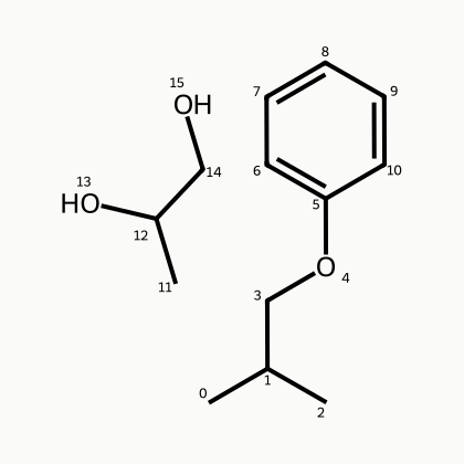 CC(C)COc1ccccc1.CC(O)CO